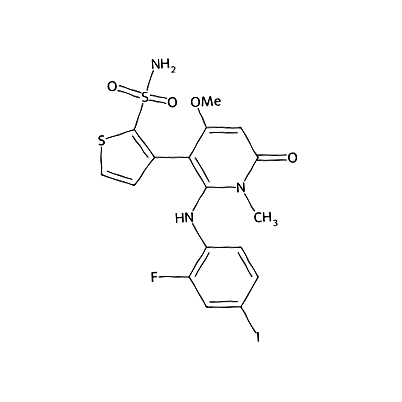 COc1cc(=O)n(C)c(Nc2ccc(I)cc2F)c1-c1ccsc1S(N)(=O)=O